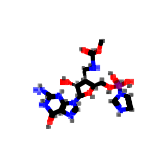 COC(=O)NC[C@H]1[C@@H](O)[C@H](n2cnc3c(=O)[nH]c(N)nc32)O[C@@H]1COP(=O)(O)n1ccnc1